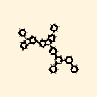 c1ccc(-c2cccc(-c3cc(-c4ccc(-n5c6ccc(-c7ccccc7)cc6c6cc(-c7ccc8c(c7)c7ccccc7n8-c7ccccc7)ccc65)cc4)nc(-c4ccccc4)n3)c2)cc1